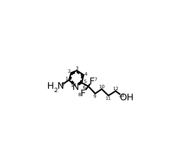 Nc1cccc(C(F)(F)CCCCO)n1